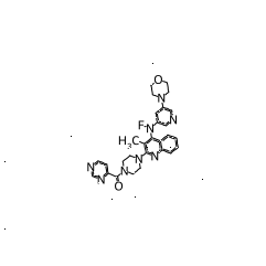 Cc1c(N2CCN(C(=O)c3ccncn3)CC2)nc2ccccc2c1N(F)c1cncc(N2CCOCC2)c1